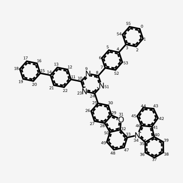 c1ccc(-c2ccc(-c3nc(-c4ccc(-c5ccccc5)cc4)nc(-c4ccc5c(c4)oc4c(-n6c7ccccc7c7ccccc76)cccc45)n3)cc2)cc1